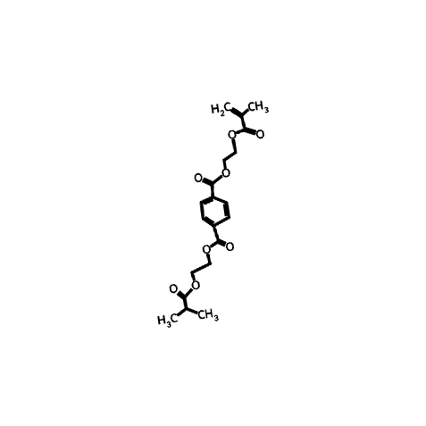 C=C(C)C(=O)OCCOC(=O)c1ccc(C(=O)OCCOC(=O)C(C)C)cc1